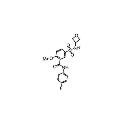 COc1ccc(S(=O)(=O)NC2COC2)cc1C(=O)Nc1ccc(F)cc1